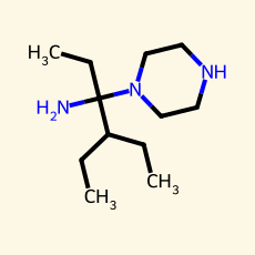 CCC(CC)C(N)(CC)N1CCNCC1